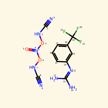 N#CNO[N+](=O)ONC#N.NC(N)=Nc1cccc(C(F)(F)F)c1